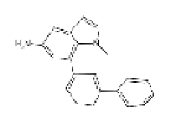 Cn1ccc2cc(N)cc(C3=CCCC(c4ccccc4)=C3)c21